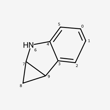 c1ccc2c(c1)NC1CC21